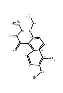 CCOc1ccc2c(C(=S)N(C)CC(=O)O)c(OCC(F)(F)F)ccc2c1C(F)(F)F